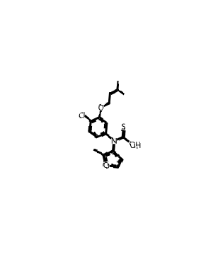 CC(C)=CCOc1cc(N(C(O)=S)c2ccoc2C)ccc1Cl